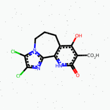 O=C(O)c1c(O)c2c([nH]c1=O)-c1nc(Cl)c(Cl)n1CCC2